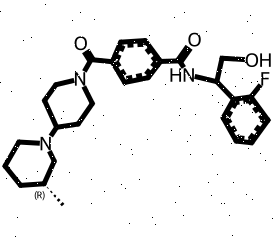 C[C@@H]1CCCN(C2CCN(C(=O)c3ccc(C(=O)NC(CO)c4ccccc4F)cc3)CC2)C1